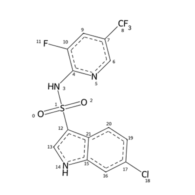 O=S(=O)(Nc1ncc(C(F)(F)F)cc1F)c1c[nH]c2cc(Cl)ccc12